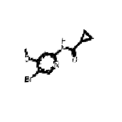 COc1cc(NC(=O)C2CC2)ncc1Br